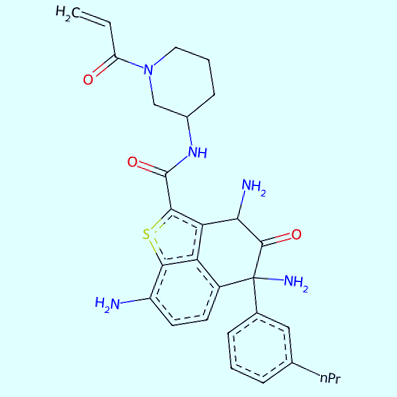 C=CC(=O)N1CCCC(NC(=O)c2sc3c(N)ccc4c3c2C(N)C(=O)C4(N)c2cccc(CCC)c2)C1